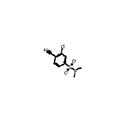 CN(C)S(=O)(=O)c1ccc(C#N)c(Cl)c1